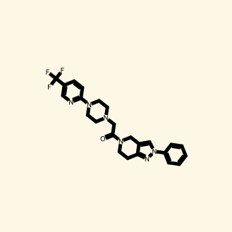 O=C(CN1CCN(c2ccc(C(F)(F)F)cn2)CC1)N1CCc2nn(-c3ccccc3)cc2C1